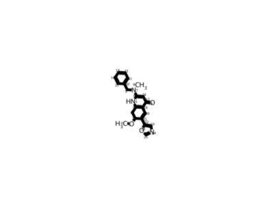 COC1Cc2[nH]c(N(C)Cc3ccccc3)cc(=O)c2C=C1c1cnco1